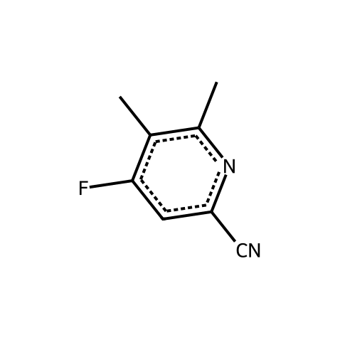 Cc1nc(C#N)cc(F)c1C